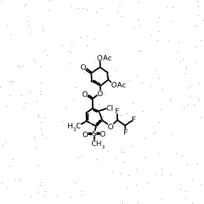 CC(=O)OC1CC(OC(C)=O)C(OC(=O)c2cc(C)c(S(C)(=O)=O)c(OC(F)C(F)F)c2Cl)=CC1=O